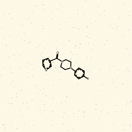 O=C(c1cccnc1)N1CCN(c2ccc(F)cc2)CC1